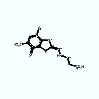 CCn1cc(C(=O)O)c(=O)c2c1SC(=NNOCC(=O)O)C2